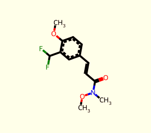 COc1ccc(C=CC(=O)N(C)OC)cc1C(F)F